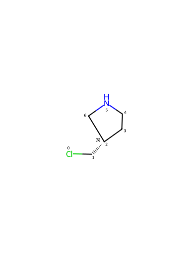 ClC[C@H]1CCNC1